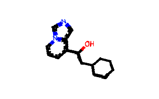 OC(CC1CCCCC1)c1cccn2cncc12